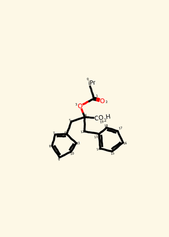 CC(C)C(=O)OC(Cc1ccccc1)(Cc1ccccc1)C(=O)O